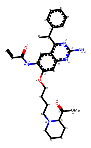 C=CC(=O)Nc1cc2c(C(C)c3ccccc3)nc(N)nc2cc1OCCCCN1CCCCC1C(=O)OC